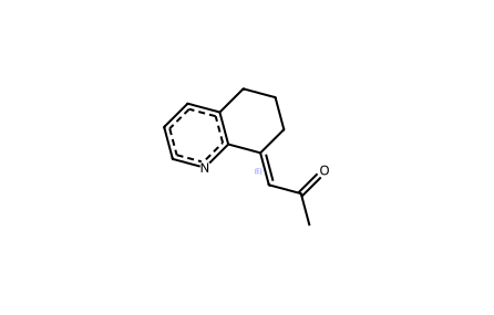 CC(=O)/C=C1\CCCc2cccnc21